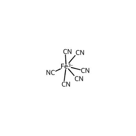 N#[C][Fe-3]([C]#N)([C]#N)([C]#N)([C]#N)[C]#N